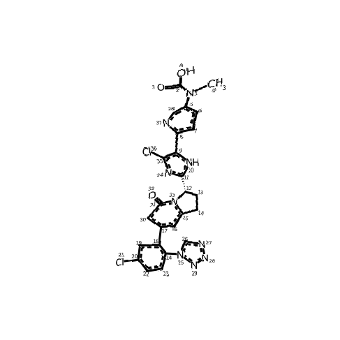 CN(C(=O)O)c1ccc(-c2[nH]c([C@@H]3CCc4cc(-c5cc(Cl)ccc5-n5cnnn5)cc(=O)n43)nc2Cl)nc1